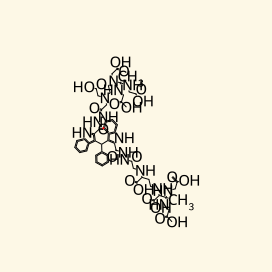 CC(NCC(=O)O)(NCC(=O)O)C(NCCC(NCC(=O)NNC(=O)c1[nH]c2ccccc2c1C(c1ccccc1)c1c(C(=O)NNC(=O)CN(CCN(CC(=O)O)C(C)(NCC(=O)O)NCC(=O)O)CC(=O)O)[nH]c2ccccc12)C(=O)O)C(=O)O